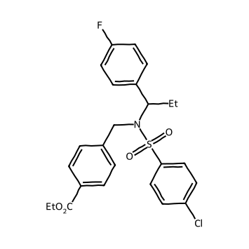 CCOC(=O)c1ccc(CN(C(CC)c2ccc(F)cc2)S(=O)(=O)c2ccc(Cl)cc2)cc1